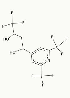 OC(CC(O)C(F)(F)F)c1cc(C(F)(F)F)nc(C(F)(F)F)c1